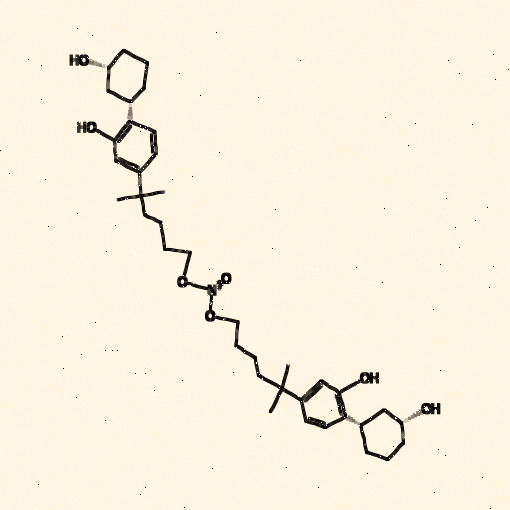 CC(C)(CCCCO[N+](=O)OCCCCC(C)(C)c1ccc([C@H]2CCC[C@@H](O)C2)c(O)c1)c1ccc([C@H]2CCC[C@@H](O)C2)c(O)c1